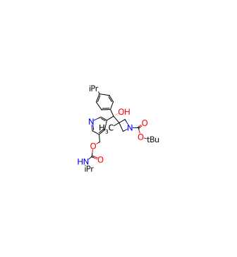 CC(C)NC(=O)OCc1cncc([C@@](O)(c2ccc(C(C)C)cc2)C2(C)CN(C(=O)OC(C)(C)C)C2)c1